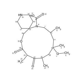 COC1(C)CC(C)CN(C(=O)O)C2(CCNCC2)COC(=O)C(C)C(=O)C(C)C1